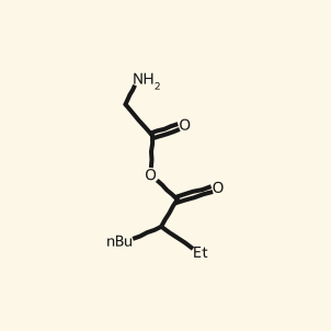 CCCCC(CC)C(=O)OC(=O)CN